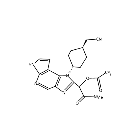 CNC(=O)C(OC(=O)C(F)(F)F)c1nc2cnc3[nH]ccc3c2n1[C@H]1CC[C@H](CC#N)CC1